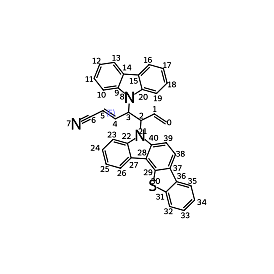 C=CC(C(/C=C/C#N)n1c2ccccc2c2ccccc21)n1c2ccccc2c2c3sc4ccccc4c3ccc21